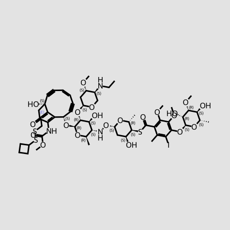 CCN[C@H]1CO[C@@H](O[C@H]2[C@H](O[C@H]3C#CC=CC#C[C@]4(O)CC(=O)C(NC(=O)OC)=C3/C4=C\CSSC3CCC3)O[C@H](C)[C@@H](NO[C@H]3C[C@H](O)[C@H](SC(=O)c4c(C)c(I)c(O[C@@H]5O[C@@H](C)[C@H](O)[C@@H](OC)[C@H]5O)c(OC)c4OC)[C@@H](C)O3)[C@@H]2O)C[C@@H]1OC